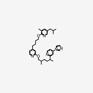 Cc1cc(CC(C)C)cnc1OCCCCc1ccnc(OCC(C)CCC(C)c2cc(-n3ccnc3)ccn2)c1